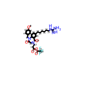 COc1ccc(CN2C(=O)CN(CCC(=O)OC(=O)C(F)(F)F)C(=O)c3cc(CCCCCCNC(=N)N)ccc32)cc1